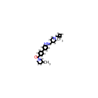 CC1CCCN(C(=O)c2ccc(-c3ccc(NCC4CCN(CC5(C(F)(F)F)CCC5)CC4)cc3)cc2)C1